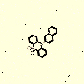 O=S1(=O)c2ccccc2[S+](c2ccc3ccccc3c2)c2ccccc21